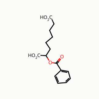 O=C(O)CCCCCC(OC(=O)c1ccccc1)C(=O)O